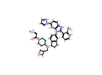 C=CC(=O)N1CCC(N(CC2COC2)[C@H]2CCc3cc(-n4c(-c5cccnc5N)nc5ccc(-n6cccn6)nc54)ccc32)CC1